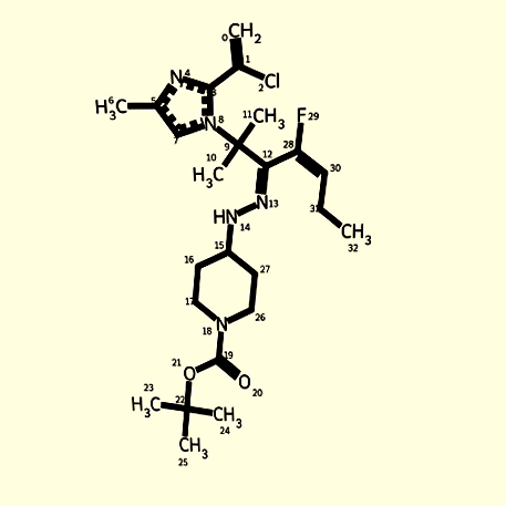 C=C(Cl)c1nc(C)cn1C(C)(C)C(=N\NC1CCN(C(=O)OC(C)(C)C)CC1)/C(F)=C\CC